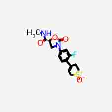 CNC(=O)[C@H]1CN(c2ccc(C3=CC[S+]([O-])CC3)c(F)c2)C(=O)O1